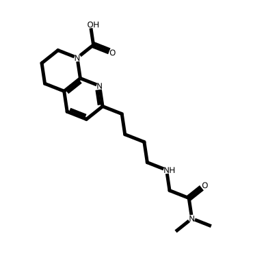 CN(C)C(=O)CNCCCCc1ccc2c(n1)N(C(=O)O)CCC2